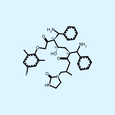 Cc1cc(F)cc(C)c1OCC(=O)[C@@H](C(N)c1ccccc1)[C@@H](O)C[C@H](C(=O)CC(C)CN1CCNC1=O)C(N)c1ccccc1